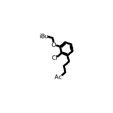 CCC(C)COc1cccc(CCCC(C)=O)c1Cl